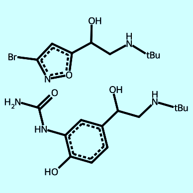 CC(C)(C)NCC(O)c1cc(Br)no1.CC(C)(C)NCC(O)c1ccc(O)c(NC(N)=O)c1